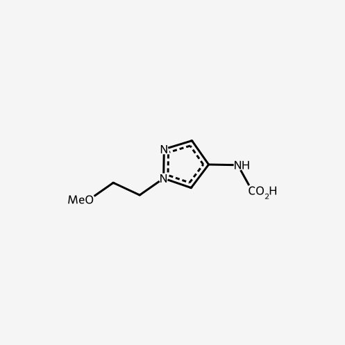 COCCn1cc(NC(=O)O)cn1